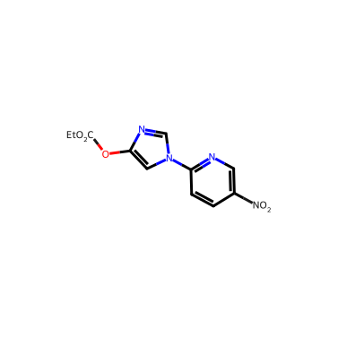 CCOC(=O)Oc1cn(-c2ccc([N+](=O)[O-])cn2)cn1